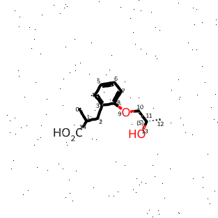 CC(Cc1ccccc1OC[C@H](C)O)C(=O)O